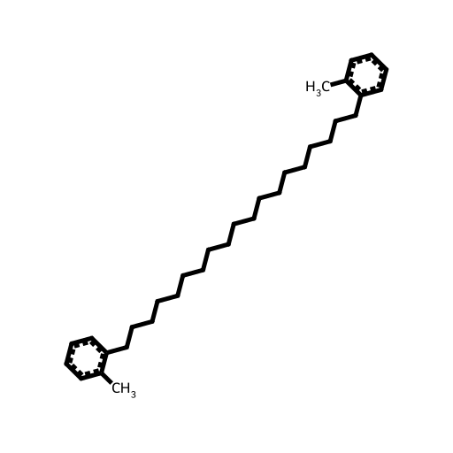 Cc1ccccc1CCCCCCCCCCCCCCCCCCCc1ccccc1C